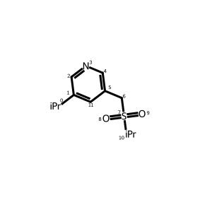 CC(C)c1cncc(CS(=O)(=O)C(C)C)c1